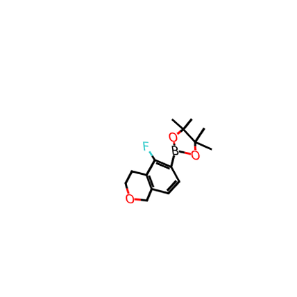 CC1(C)OB(c2ccc3c(c2F)CCOC3)OC1(C)C